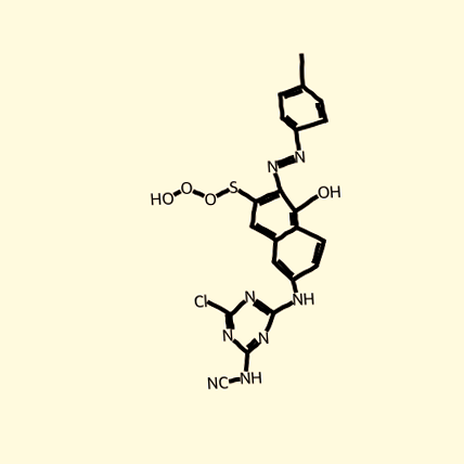 Cc1ccc(N=Nc2c(SOOO)cc3cc(Nc4nc(Cl)nc(NC#N)n4)ccc3c2O)cc1